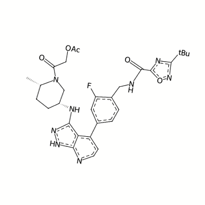 CC(=O)OCC(=O)N1C[C@H](Nc2n[nH]c3nccc(-c4ccc(CNC(=O)c5nc(C(C)(C)C)no5)c(F)c4)c23)CC[C@@H]1C